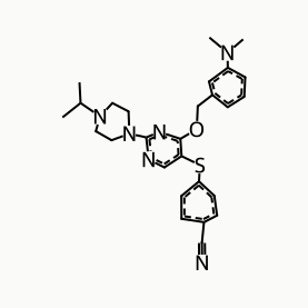 CC(C)N1CCN(c2ncc(Sc3ccc(C#N)cc3)c(OCc3cccc(N(C)C)c3)n2)CC1